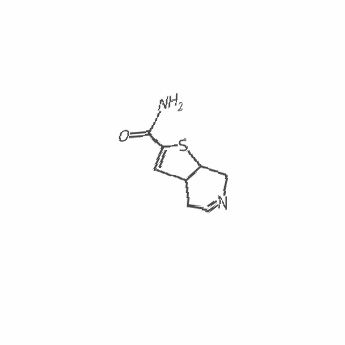 NC(=O)C1=CC2CC=NCC2S1